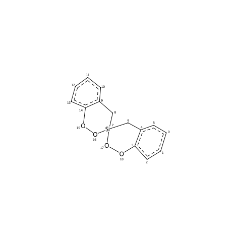 c1ccc2c(c1)C[Si]1(Cc3ccccc3OO1)OO2